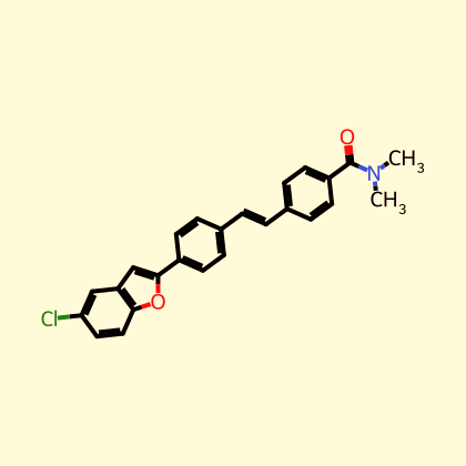 CN(C)C(=O)c1ccc(C=Cc2ccc(-c3cc4cc(Cl)ccc4o3)cc2)cc1